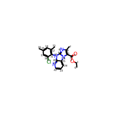 CCOC(=O)c1c(C)nc2n(-c3c(C)cc(C)cc3Cl)c3ncccc3n12